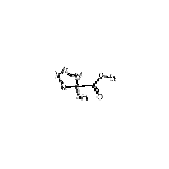 CCOC(=O)C1(S)N=NN=N1